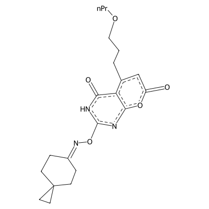 CCCOCCCc1cc(=O)oc2nc(ON=C3CCC4(CC3)CC4)[nH]c(=O)c12